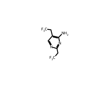 Nc1nc(CC(F)(F)F)ncc1CC(F)(F)F